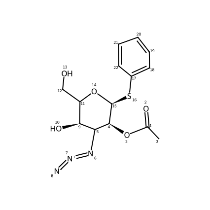 CC(=O)O[C@H]1C(N=[N+]=[N-])[C@@H](O)C(CO)O[C@H]1Sc1ccccc1